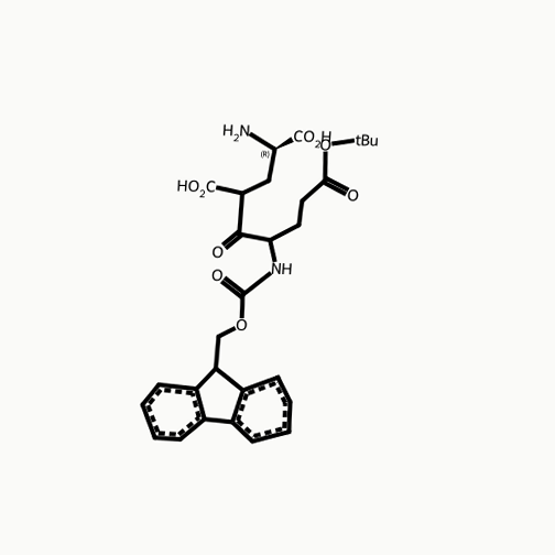 CC(C)(C)OC(=O)CCC(NC(=O)OCC1c2ccccc2-c2ccccc21)C(=O)C(C[C@@H](N)C(=O)O)C(=O)O